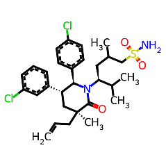 C=CC[C@@]1(C)C[C@H](c2cccc(Cl)c2)[C@@H](c2ccc(Cl)cc2)N([C@@H](CC(C)CS(N)(=O)=O)C(C)C)C1=O